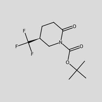 CC(C)(C)OC(=O)N1C[C@@H](C(F)(F)F)CCC1=O